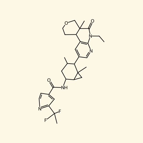 CCN1C(=O)C2(C)COCCC2c2cc(C3C(C)CC(NC(=O)c4ccnc(C(C)(F)F)c4)C4CC43C)cnc21